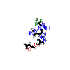 CC1COC(COCc2cnc3nc(-c4nc(C(F)(F)F)n[nH]4)c(-c4c[nH]cn4)n3c2)C1